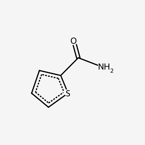 NC(=O)c1cccs1